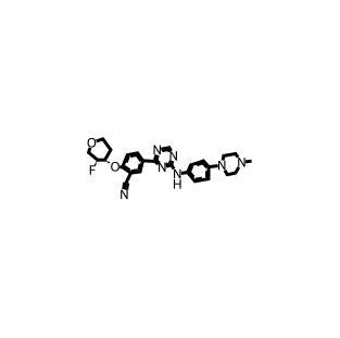 CN1CCN(c2ccc(Nc3ncnc(-c4ccc(O[C@H]5CCOC[C@H]5F)c(C#N)c4)n3)cc2)CC1